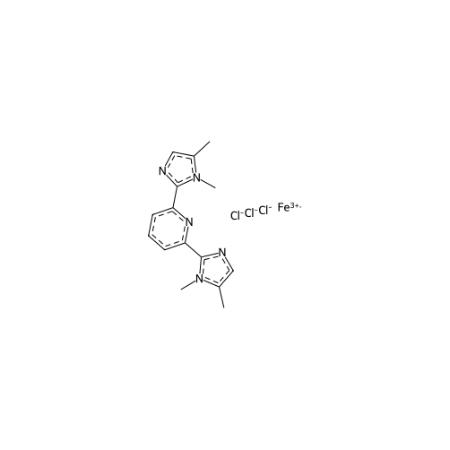 Cc1cnc(-c2cccc(-c3ncc(C)n3C)n2)n1C.[Cl-].[Cl-].[Cl-].[Fe+3]